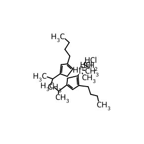 CCCCC1=[C]([Hf]([CH3])([CH3])(=[SiH2])[C]2=C(CCCC)C=C(C(C)C)C2)CC(C(C)C)=C1.Cl.Cl